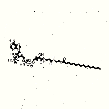 CCCCCCCCCCCCCCCC(=O)SCCNC(=O)CCNC(=O)C(O)C(C)(C)COP(=O)(O)OP(=O)(O)OCC1OC(n2cnc3c(N)ncnc32)C(O)C1OP(=O)(O)O